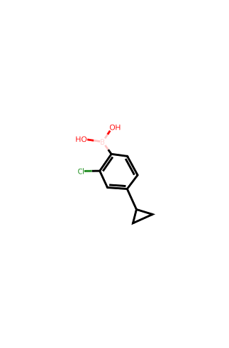 OB(O)c1ccc(C2CC2)cc1Cl